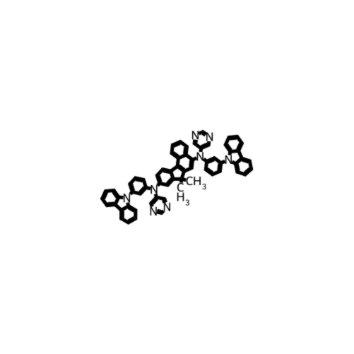 CC1(C)c2cc(N(c3cncnc3)c3cccc(-n4c5ccccc5c5ccccc54)c3)ccc2-c2c1cc(N(c1cncnc1)c1cccc(-n3c4ccccc4c4ccccc43)c1)c1ccccc21